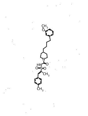 COc1cccc(CCCCC2CCN(C(=O)NS(=O)(=O)C(C)=Cc3ccc(C)cc3)CC2)c1